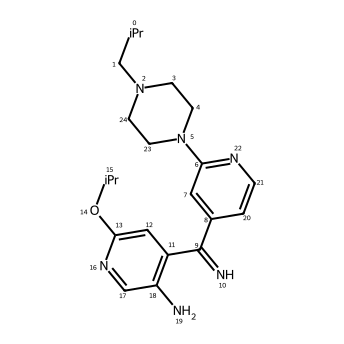 CC(C)CN1CCN(c2cc(C(=N)c3cc(OC(C)C)ncc3N)ccn2)CC1